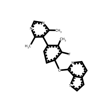 Cc1ncnc(C)c1-c1ccc(Oc2nccc3ccsc23)c(F)c1C